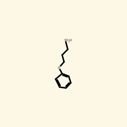 O=S(=O)(O)CCCOc1ccccc1